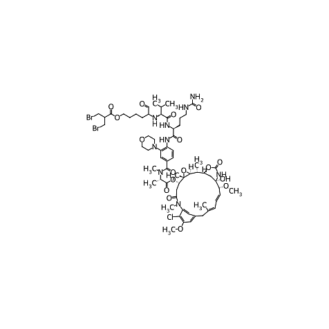 COc1cc2cc(c1Cl)N(C)C(=O)C[C@H](OC(=O)[C@H](C)N(C)C(=O)c1ccc(NC(=O)[C@H](CCCNC(N)=O)NC(=O)[C@@H](NC(C=O)CCCCOC(=O)C(CBr)CBr)C(C)C)c(N3CCOCC3)c1)[C@]1(C)O[C@H]1[C@H](C)[C@@H]1C[C@@](O)(NC(=O)O1)[C@H](OC)/C=C/C=C(\C)C2